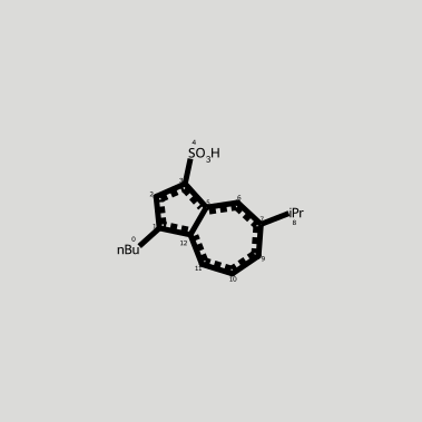 CCCCc1cc(S(=O)(=O)O)c2cc(C(C)C)cccc1-2